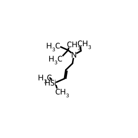 CCN(CC=C[SiH](C)C)C(C)(C)C